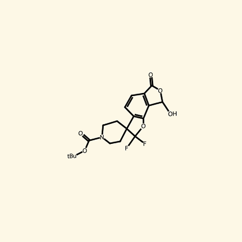 CC(C)(C)OC(=O)N1CCC2(CC1)c1ccc3c(c1OC2(F)F)C(O)OC3=O